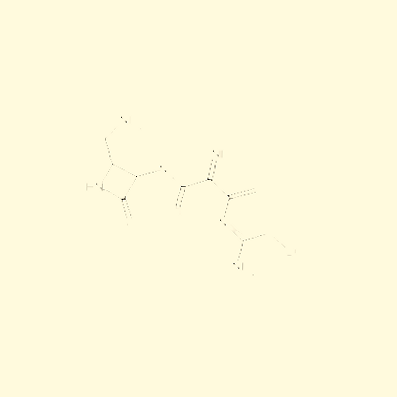 C=C(/N=C(/N)SCC)C(=N)C(=O)NC1C(=O)NC1CN